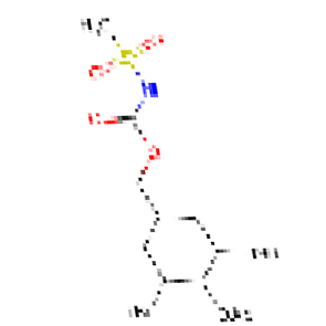 CC(=O)OC1C(C(C)(C)C)CC(COC(=O)NS(C)(=O)=O)CC1C(C)(C)C